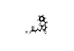 CNCCCN1C(=O)CN(Cc2ccccc2)C1=O